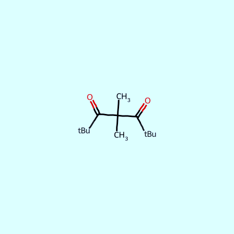 CC(C)(C)C(=O)C(C)(C)C(=O)C(C)(C)C